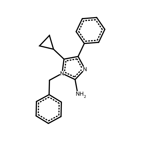 Nc1nc(-c2ccccc2)c(C2CC2)n1Cc1ccccc1